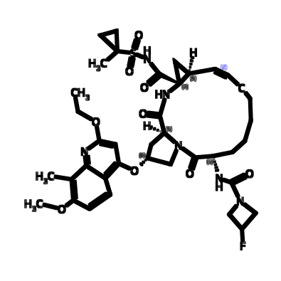 CCOc1cc(O[C@@H]2C[C@H]3C(=O)N[C@]4(C(=O)NS(=O)(=O)C5(C)CC5)C[C@H]4/C=C\CCCCC[C@H](NC(=O)N4CC(F)C4)C(=O)N3C2)c2ccc(OC)c(C)c2n1